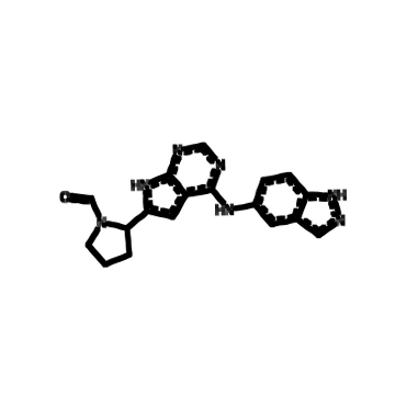 O=CN1CCCC1c1cc2c(Nc3ccc4[nH]ncc4c3)ncnc2[nH]1